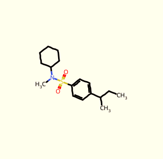 CCC(C)c1ccc(S(=O)(=O)N(C)C2CCCCC2)cc1